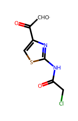 O=[C]C(=O)c1csc(NC(=O)CCl)n1